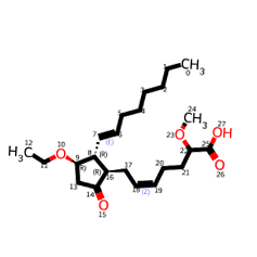 CCCCCC/C=C/[C@H]1[C@H](OCC)CC(=O)[C@@H]1C/C=C\CCC(OC)C(=O)O